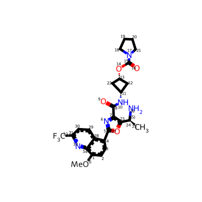 COc1ccc(-c2nc(C(=O)N[C@H]3C[C@@H](OC(=O)N4CCCC4)C3)c([C@H](C)N)o2)c2ccc(C(F)(F)F)nc12